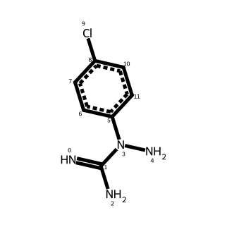 N=C(N)N(N)c1ccc(Cl)cc1